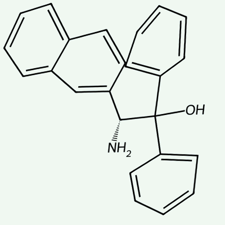 N[C@H](c1ccc2ccccc2c1)C(O)(c1ccccc1)c1ccccc1